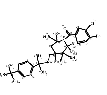 BC(B)(B)c1ccc(C(B)(B)NCC2(F)CC(B)(B)N(C(=O)c3ccc(F)c(Cl)c3)C(B)(B)C2(B)B)nc1